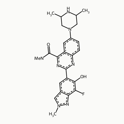 CNC(=O)c1nc(-c2cc3cn(C)nc3c(F)c2O)nc2ccc(N3CC(C)NC(C)C3)cc12